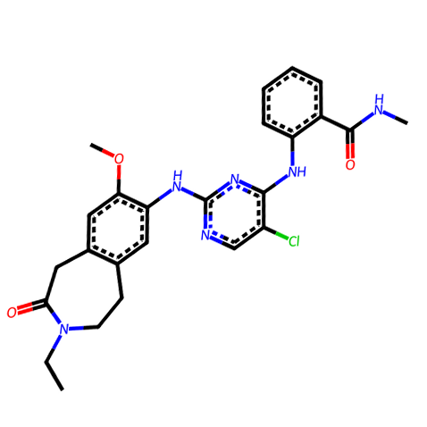 CCN1CCc2cc(Nc3ncc(Cl)c(Nc4ccccc4C(=O)NC)n3)c(OC)cc2CC1=O